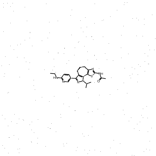 CCNc1ccc(-c2nn(C(C)C)c3c2CCCc2nc(NC(C)=O)sc2-3)cn1